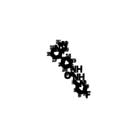 O=C(NCc1ccc(F)cn1)Nc1ccc([C@@H]2CCCn3cncc32)cc1